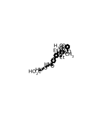 CCOc1cc(N2CCC(C(=O)NCCOCCNC(=O)O)CC2)ccc1N(CC)c1ncc2c(n1)N(S(C)(=O)=O)c1ccccc1C(=O)N2C